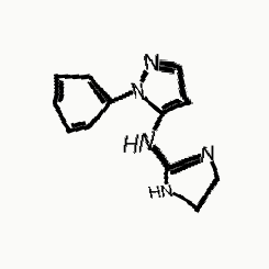 c1ccc(-n2nccc2NC2=NCCN2)cc1